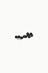 c1ccc2c(-c3c4ccccc4c(-c4ccc5cc(-c6ccc7sc8c(ccc9c%10ccccc%10sc98)c7c6)ccc5c4)c4ccccc34)cccc2c1